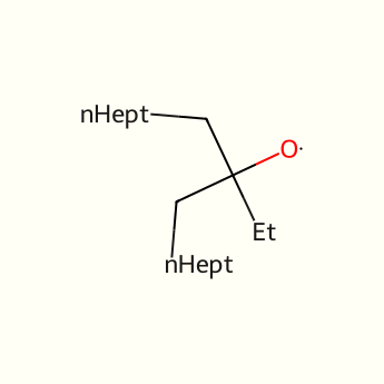 CCCCCCCCC([O])(CC)CCCCCCCC